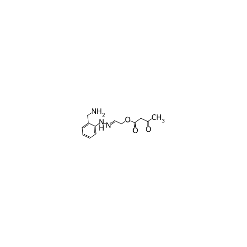 CC(=O)CC(=O)OCC=NNc1ccccc1CN